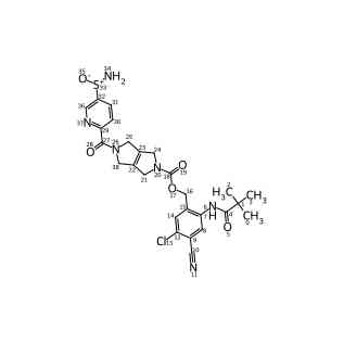 CC(C)(C)C(=O)Nc1cc(C#N)c(Cl)cc1COC(=O)N1CC2=C(C1)CN(C(=O)c1ccc([S+](N)[O-])cn1)C2